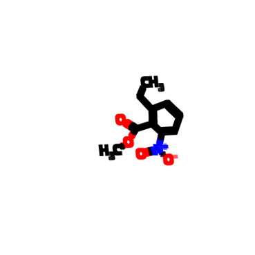 CCc1cccc([N+](=O)[O-])c1C(=O)OC